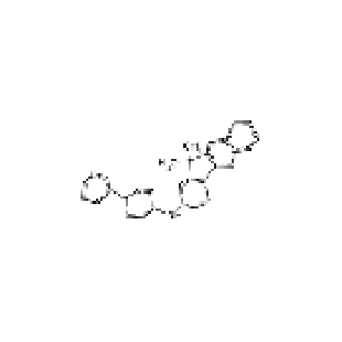 CC1(C)c2cc(Nc3ccc(-c4ccccc4)cc3)ccc2-c2cc3ccccc3cc21